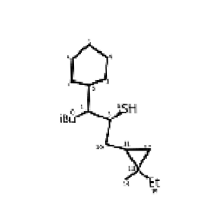 CCC(C)C(C1CCCCC1)[C@@H](S)CC1CC1(C)CC